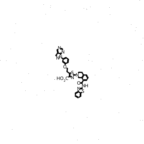 O=C(Nc1nc2ccccc2s1)c1cccc2c1CN(c1nc(C(=O)O)c(CCOc3cccc(-n4ncc5cncnc54)c3)s1)CC2